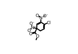 COC(=O)C1([N+](=O)[O-])C=C([N+](=O)[O-])C(Cl)=CC1